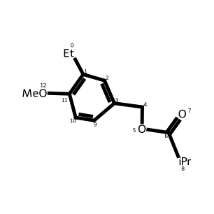 CCc1cc(COC(=O)C(C)C)ccc1OC